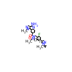 CC(=O)N(C)N(Cc1ccc(-c2cnn(C3(C)CC3)c2)cc1F)C(=O)c1ccc2nc(N)c3cnn(C)c3c2c1